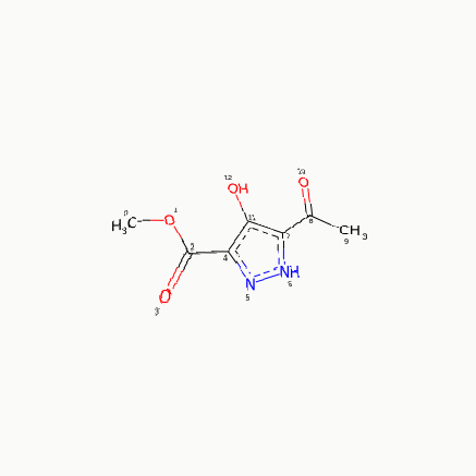 COC(=O)c1n[nH]c(C(C)=O)c1O